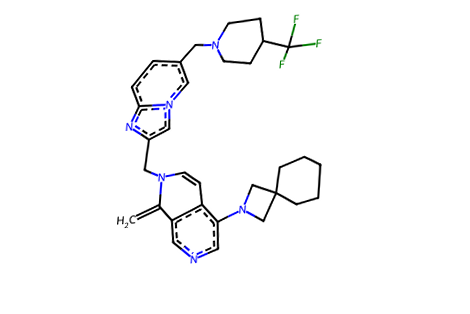 C=C1c2cncc(N3CC4(CCCCC4)C3)c2C=CN1Cc1cn2cc(CN3CCC(C(F)(F)F)CC3)ccc2n1